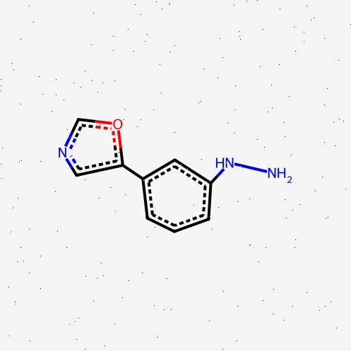 NNc1cccc(-c2cnco2)c1